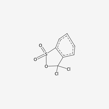 O=S1(=O)OC(Cl)(Cl)c2ccccc21